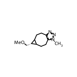 COC[C@@H]1C2CCc3nnn(C)c3CCC21